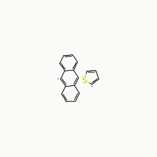 [c]1c2ccccc2cc2ccccc12.[c]1cccs1